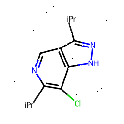 CC(C)c1ncc2c(C(C)C)n[nH]c2c1Cl